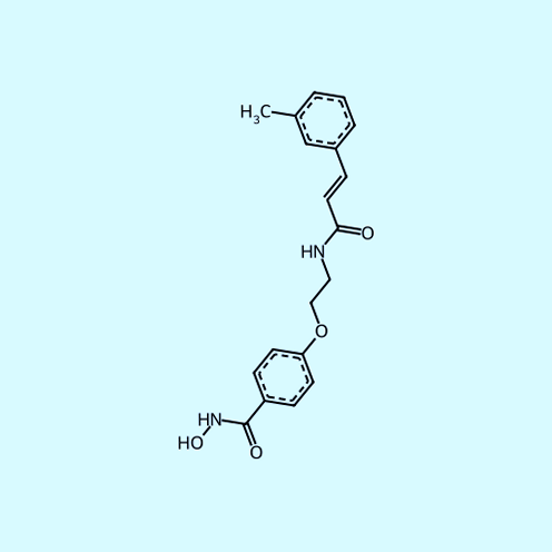 Cc1cccc(C=CC(=O)NCCOc2ccc(C(=O)NO)cc2)c1